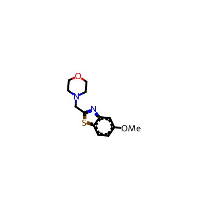 COc1ccc2sc(CN3CCOCC3)nc2c1